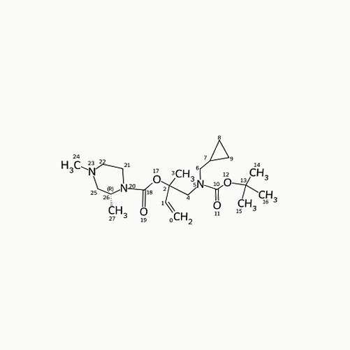 C=CC(C)(CN(CC1CC1)C(=O)OC(C)(C)C)OC(=O)N1CCN(C)C[C@H]1C